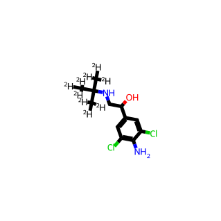 [2H]C([2H])([2H])C(NCC(O)c1cc(Cl)c(N)c(Cl)c1)(C([2H])([2H])[2H])C([2H])([2H])[2H]